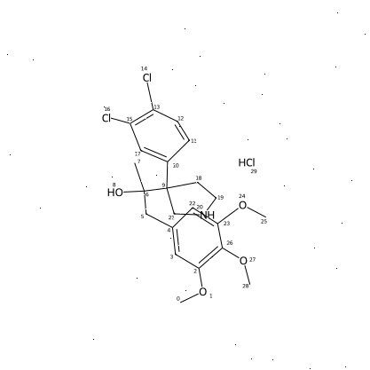 COc1cc(CC(C)(O)C2(c3ccc(Cl)c(Cl)c3)CCNC2)cc(OC)c1OC.Cl